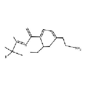 C=C(/N=C(\C)C(C)(C)F)C1=CC=C(CCN)CC1CC